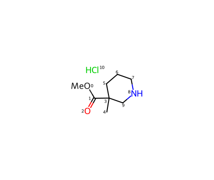 COC(=O)C1(C)CCCNC1.Cl